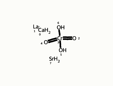 [CaH2].[La].[O]=[Cr](=[O])([OH])[OH].[SrH2]